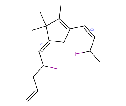 C=CCC(I)/C=C1\CC(/C=C\C(C)I)=C(C)C1(C)C